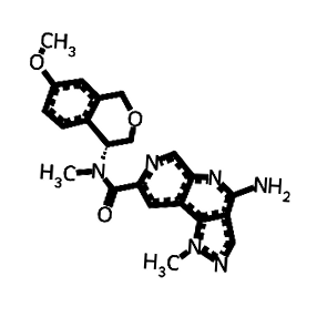 COc1ccc2c(c1)COC[C@@H]2N(C)C(=O)c1cc2c(cn1)nc(N)c1cnn(C)c12